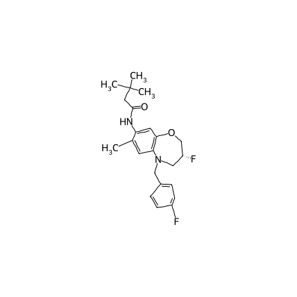 Cc1cc2c(cc1NC(=O)CC(C)(C)C)OC[C@H](F)CN2Cc1ccc(F)cc1